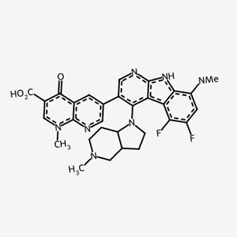 CNc1cc(F)c(F)c2c1[nH]c1ncc(-c3cnc4c(c3)c(=O)c(C(=O)O)cn4C)c(N3CCC4CN(C)CCC43)c12